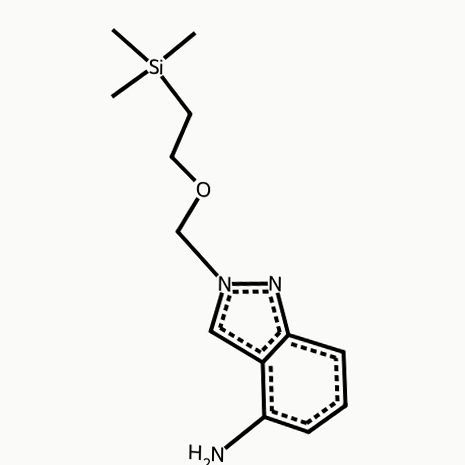 C[Si](C)(C)CCOCn1cc2c(N)cccc2n1